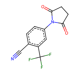 N#Cc1ccc(N2C(=O)CCC2=O)cc1C(F)(F)F